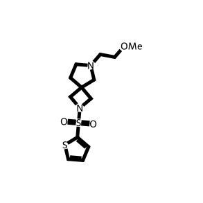 COCCN1CCC2(C1)CN(S(=O)(=O)c1cccs1)C2